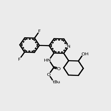 CC(C)(C)OC(=O)Nc1c(-c2cc(F)ccc2F)ccnc1C1CCCCC1O